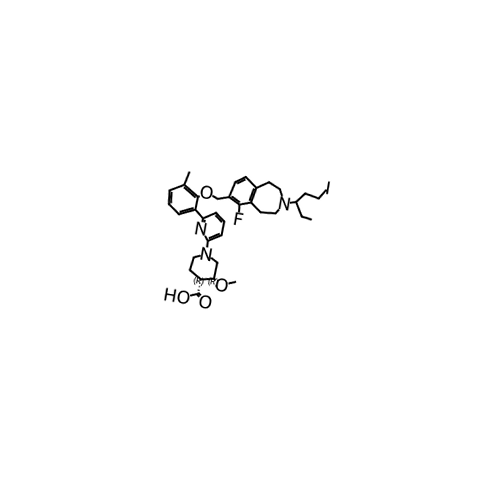 CCC(CCI)N1CCc2ccc(COc3c(C)cccc3-c3cccc(N4CC[C@@H](C(=O)O)[C@@H](OC)C4)n3)c(F)c2CC1